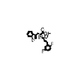 Cn1cc(C[C@H](NC(=O)/C=C/c2cc(F)ccc2F)C(=O)O)c2ccccc21